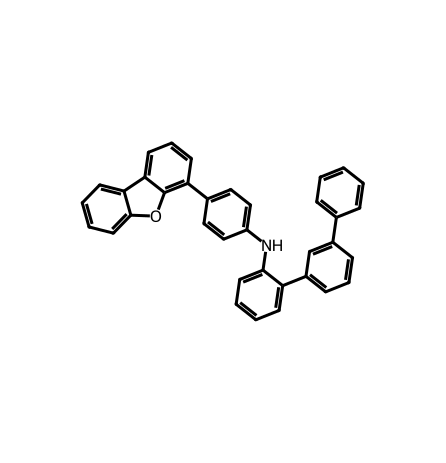 c1ccc(-c2cccc(-c3ccccc3Nc3ccc(-c4cccc5c4oc4ccccc45)cc3)c2)cc1